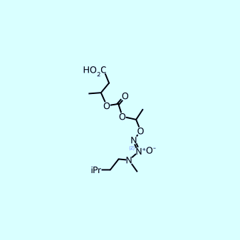 CC(C)CCN(C)/[N+]([O-])=N/OC(C)OC(=O)OC(C)CC(=O)O